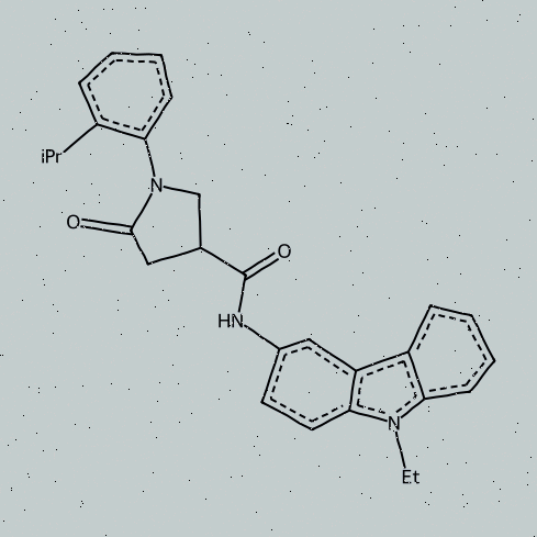 CCn1c2ccccc2c2cc(NC(=O)C3CC(=O)N(c4ccccc4C(C)C)C3)ccc21